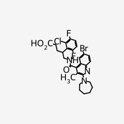 Cc1c(N2CCCCCC2)nc2ccc(Br)cc2c1C(=O)NCC(CCC(=O)O)c1c(F)ccc(F)c1Cl